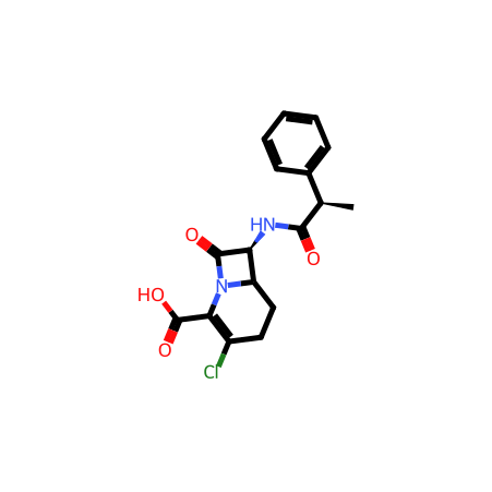 C[C@@H](C(=O)N[C@@H]1C(=O)N2C(C(=O)O)=C(Cl)CCC12)c1ccccc1